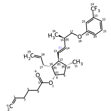 C=CCCCC(=O)O[C@H]1C[C@@H](C)[C@H](/C=C/[C@@H](C)COc2cccc(C(F)(F)F)c2)[C@H]1CC=C